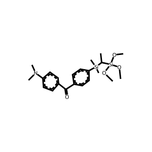 CO[Si](OC)(OC)C(C)[Si](C)(C)c1ccc(C(=O)c2ccc(N(C)C)cc2)cc1